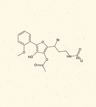 COc1ccccc1-c1oc(C(Br)CCN[SH](=O)=O)c(OC(C)=O)c1O